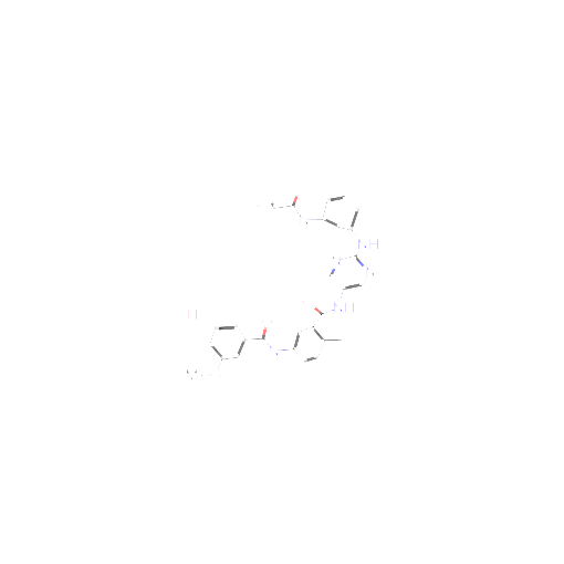 C=CC(=O)Nc1cccc(Nc2ncc(NC(=O)c3cc(NC(=O)c4cc(O)cc(OC)c4)ccc3C)cn2)c1